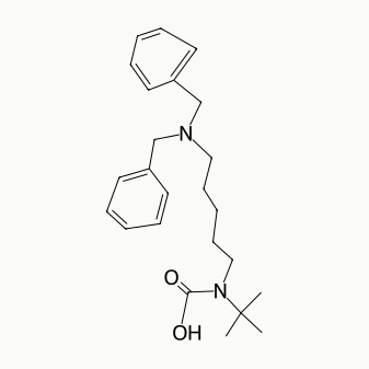 CC(C)(C)N(CCCCCN(Cc1ccccc1)Cc1ccccc1)C(=O)O